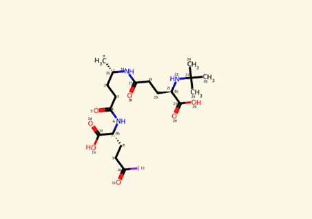 C[C@@H](CCC(=O)N[C@H](CCC(=O)I)C(=O)O)NC(=O)CC[C@@H](NC(C)(C)C)C(=O)O